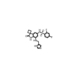 O=C1Nc2c(NCc3cnc[nH]3)cc(NS(=O)(=O)c3ccc(F)cc3F)cc2C12CCC2